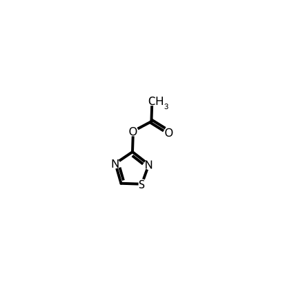 CC(=O)Oc1ncsn1